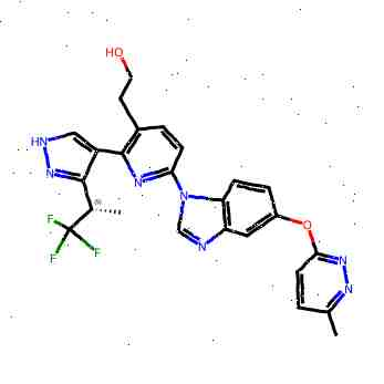 Cc1ccc(Oc2ccc3c(c2)ncn3-c2ccc(CCO)c(-c3c[nH]nc3[C@H](C)C(F)(F)F)n2)nn1